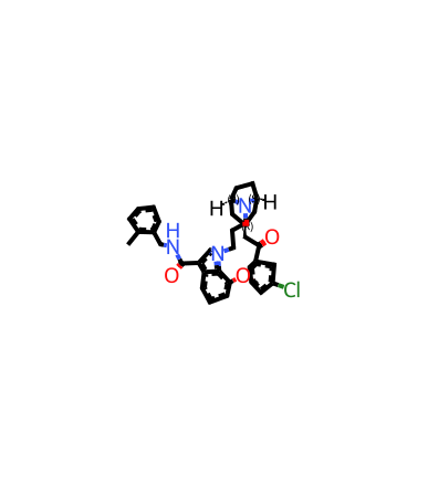 COc1cccc2c(C(=O)NCc3ccccc3C)cn(CCCN3[C@@H]4CC[C@H]3C[C@@H](CC(=O)c3cccc(Cl)c3)C4)c12